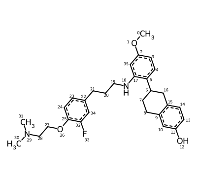 COc1ccc(C2CCc3cc(O)ccc3C2)c(NCCCc2ccc(OCCN(C)C)c(F)c2)c1